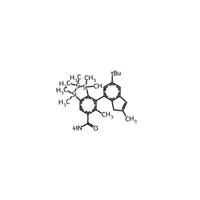 CC1=Cc2cc(C(C)(C)C)cc(-c3c(C)c(C([NH])=O)cc4c3[Si](C)(C)[Si](C)(C)[Si]4(C)C)c2C1